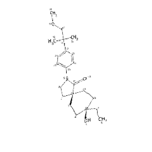 CC[C@]1(O)CC[C@]2(CCN(c3ccc(C(C)(C)COC)cc3)C2=O)CC1